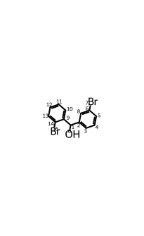 OC(c1cccc(Br)c1)c1ccccc1Br